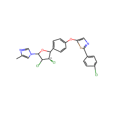 Cc1cn(C2OC(c3ccc(Oc4cnc(-c5ccc(Cl)cc5)s4)cc3)[C@@H](Cl)C2Cl)cn1